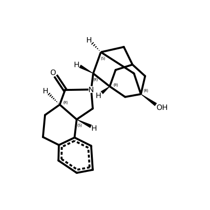 O=C1[C@@H]2CCc3ccccc3[C@H]2CN1[C@H]1[C@@H]2CC3C[C@H]1C[C@](O)(C3)C2